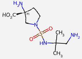 CC(C)(CN)NS(=O)(=O)N1CC[C@](N)(C(=O)O)C1